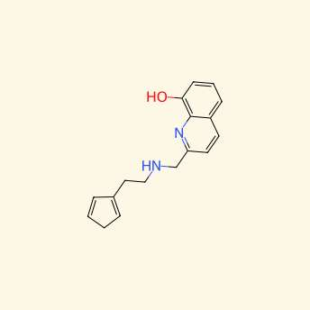 Oc1cccc2ccc(CNCCC3=CCC=C3)nc12